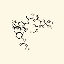 C[C@H](OC(=O)C1OC(C)(C)O[C@H]1C(=O)OC(C)(C)C)C(=O)OC1=CC[C@@]2(O)[C@H]3Cc4ccc(OC(=O)OC(C)(C)C)c5c4[C@@]2(CCN3C)[C@H]1O5